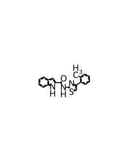 Cc1ccccc1-c1csc(NC(=O)c2cc3ccccc3[nH]2)n1